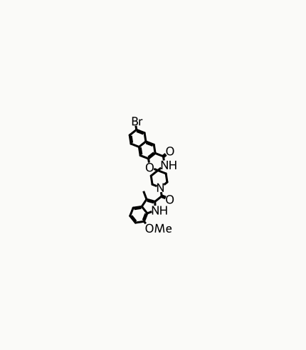 COc1cccc2c(C)c(C(=O)N3CCC4(CC3)NC(=O)c3cc5cc(Br)ccc5cc3O4)[nH]c12